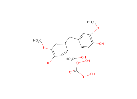 O=C(O)O.O=C(O)Oc1cc(Cc2ccc(O)c(OC(=O)O)c2)ccc1O.O=C(OO)OO